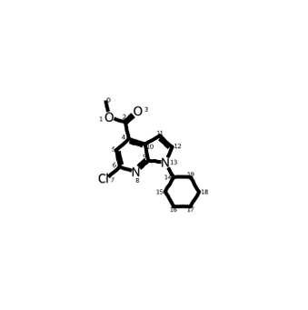 COC(=O)c1cc(Cl)nc2c1ccn2C1CCCCC1